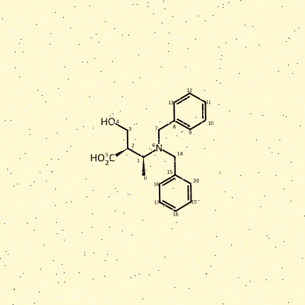 C[C@@H]([C@H](CO)C(=O)O)N(Cc1ccccc1)Cc1ccccc1